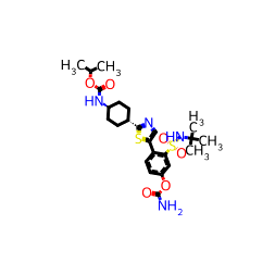 CC(C)OC(=O)N[C@H]1CC[C@H](c2ncc(-c3ccc(OC(N)=O)cc3S(=O)(=O)NC(C)(C)C)s2)CC1